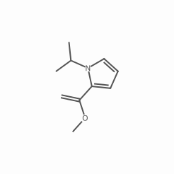 C=C(OC)c1cccn1C(C)C